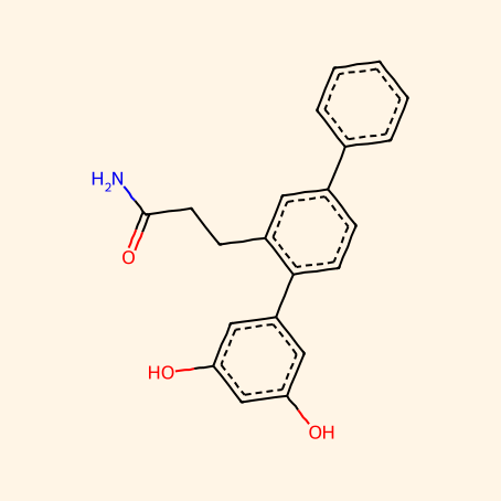 NC(=O)CCc1cc(-c2ccccc2)ccc1-c1cc(O)cc(O)c1